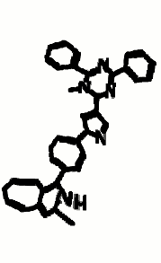 CC1C=C2C=CCC=CC2=C(C2=CCC=C(C3C=C(C4N=C(c5ccccc5)N=C(c5ccccc5)N4C)C=N3)C=C2)N1